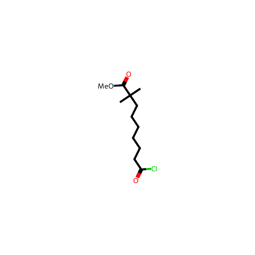 COC(=O)C(C)(C)CCCCCCC(=O)Cl